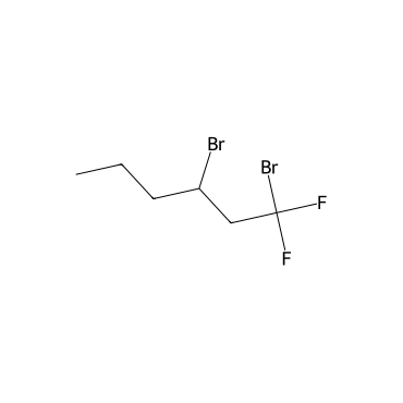 CCCC(Br)CC(F)(F)Br